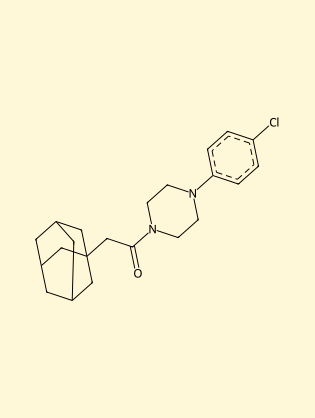 O=C(CC12CC3CC(CC(C3)C1)C2)N1CCN(c2ccc(Cl)cc2)CC1